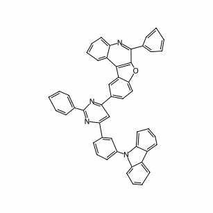 c1ccc(-c2nc(-c3cccc(-n4c5ccccc5c5ccccc54)c3)cc(-c3ccc4oc5c(-c6ccccc6)nc6ccccc6c5c4c3)n2)cc1